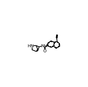 C#Cc1cccc2cc(C(=O)NC3CC4CNC3C4)ccc12